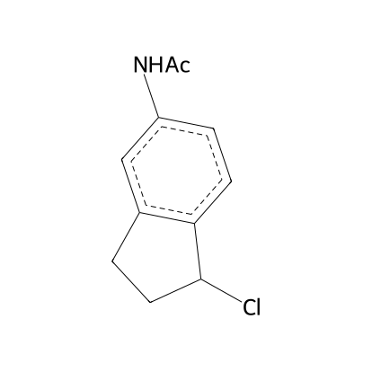 CC(=O)Nc1ccc2c(c1)CCC2Cl